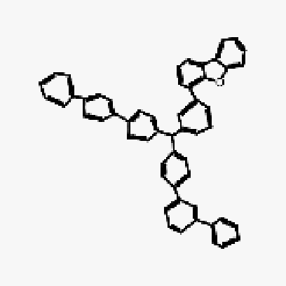 c1ccc(-c2ccc(-c3ccc(C(c4ccc(-c5cccc(-c6ccccc6)c5)cc4)c4cccc(-c5cccc6c5oc5ccccc56)c4)cc3)cc2)cc1